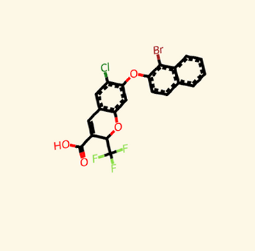 O=C(O)C1=Cc2cc(Cl)c(Oc3ccc4ccccc4c3Br)cc2OC1C(F)(F)F